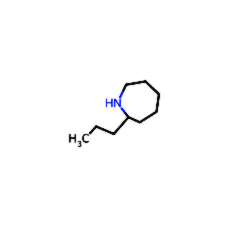 CCCC1CCCCCN1